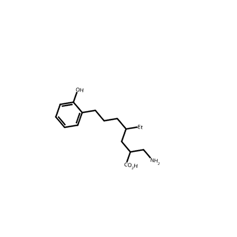 CCC(CCCc1ccccc1O)CC(CN)C(=O)O